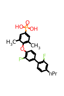 CCCc1ccc(-c2ccc(Oc3c(C)cc(P(=O)(O)O)cc3C)c(F)c2)c(F)c1